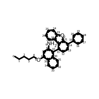 CCCCCOc1cc(N)c(-c2ccc(-c3ccccc3)c3oc4ccccc4c23)c2ccccc12